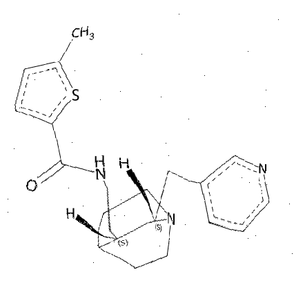 Cc1ccc(C(=O)N[C@H]2C3CCN(CC3)[C@H]2Cc2cccnc2)s1